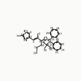 C/C(=C\c1csc(C)n1)C(CCI)O[Si](c1ccccc1)(c1ccccc1)C(C)(C)C